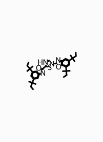 CCC(C)(C)c1cc(C(C)(C)CC)c2oc(C3NCN(c4nc5cc(C(C)(C)CC)cc(C(C)(C)CC)c5o4)S3)nc2c1